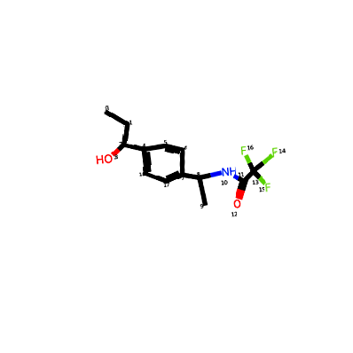 CCC(O)c1ccc(C(C)NC(=O)C(F)(F)F)cc1